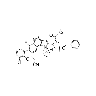 Cc1nc2c(F)c(-c3cccc(Cl)c3Cl)c(CCC#N)cc2c2c1cc(C1CC(C)(OCc3ccccc3)CN1C(=O)C1CC1)n2C1C2CNC1C2